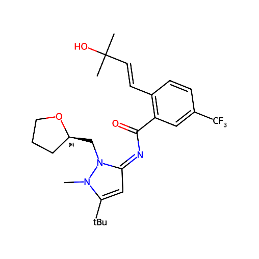 Cn1c(C(C)(C)C)cc(=NC(=O)c2cc(C(F)(F)F)ccc2C=CC(C)(C)O)n1C[C@H]1CCCO1